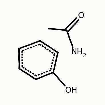 CC(N)=O.Oc1ccccc1